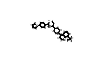 CCC(NC(=O)c1ccc(-n2cccc2)cc1)C1CCC(c2ccnc3c(C(F)(F)F)cccc23)CC1